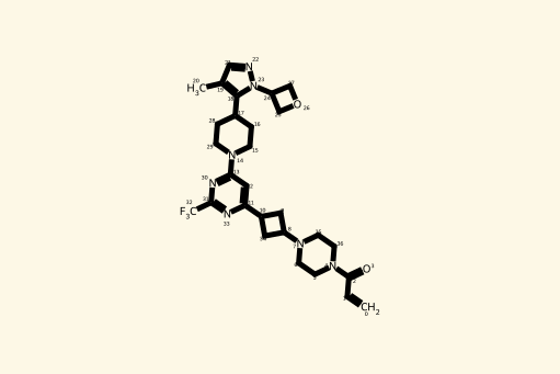 C=CC(=O)N1CCN(C2CC(c3cc(N4CCC(c5c(C)cnn5C5COC5)CC4)nc(C(F)(F)F)n3)C2)CC1